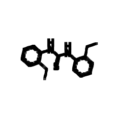 CCc1ccccc1NC(=S)Nc1ccccc1CC